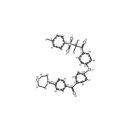 Cc1ccc(S(=O)(=O)C(C)(C)C(=O)c2ccc(Oc3ccc(C(=O)c4ccc(N5CCOCC5)cc4)cc3)cc2)cc1